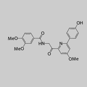 COc1cc(C(=O)CNC(=O)c2ccc(OC)c(OC)c2)nc(-c2ccc(O)cc2)c1